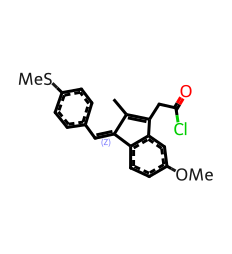 COc1ccc2c(c1)C(CC(=O)Cl)=C(C)/C2=C\c1ccc(SC)cc1